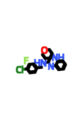 Fc1cc(CNC2=Nc3ccccc3NC23CCOCC3)ccc1Cl